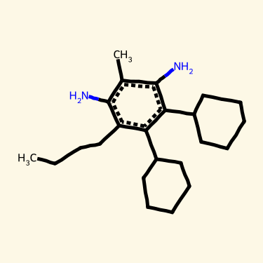 CCCCc1c(N)c(C)c(N)c(C2CCCCC2)c1C1CCCCC1